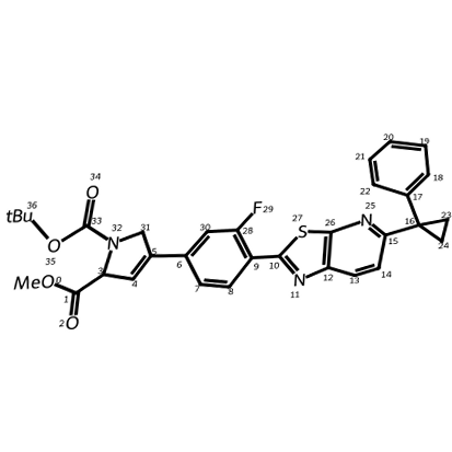 COC(=O)C1C=C(c2ccc(-c3nc4ccc(C5(c6ccccc6)CC5)nc4s3)c(F)c2)CN1C(=O)OC(C)(C)C